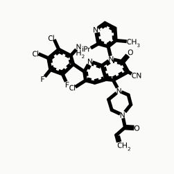 C=CC(=O)N1CCN(c2c(C#N)c(=O)n(-c3c(C)ccnc3C(C)C)c3nc(-c4c(N)c(Cl)c(Cl)c(F)c4F)c(Cl)cc23)CC1